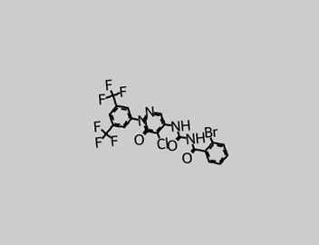 O=C(NC(=O)c1ccccc1Br)Nc1cnn(-c2cc(C(F)(F)F)cc(C(F)(F)F)c2)c(=O)c1Cl